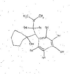 [2H]c1c([2H])c(C(C2(O)CCCCC2)C([2H])([2H])N(C)C)c([2H])c([2H])c1O